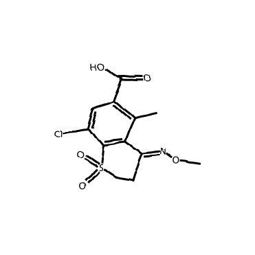 CON=C1CCS(=O)(=O)c2c(Cl)cc(C(=O)O)c(C)c21